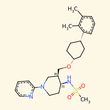 Cc1cccc([C@H]2CC[C@@H](OC[C@@H]3CN(c4ccccn4)CC[C@@H]3NS(C)(=O)=O)CC2)c1C